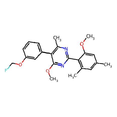 COc1cc(C)cc(C)c1-c1nc(C)c(-c2cccc(OCF)c2)c(OC)n1